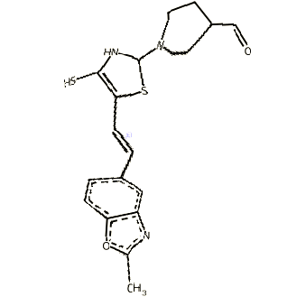 Cc1nc2cc(/C=C/C3=C(S)NC(N4CCC(C=O)C4)S3)ccc2o1